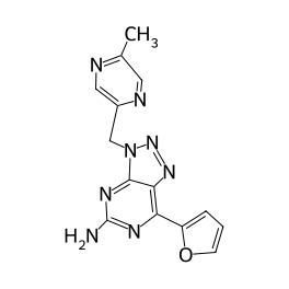 Cc1cnc(Cn2nnc3c(-c4ccco4)nc(N)nc32)cn1